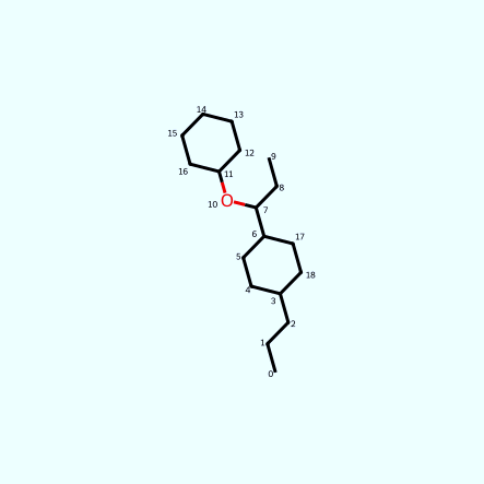 CCCC1CCC(C(CC)OC2CCCCC2)CC1